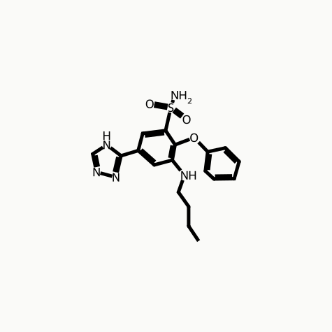 CCCCNc1cc(-c2nnc[nH]2)cc(S(N)(=O)=O)c1Oc1ccccc1